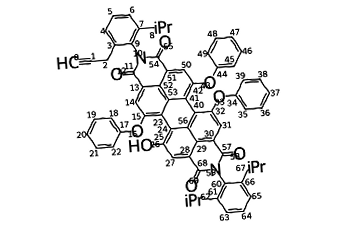 C#CCc1cccc(C(C)C)c1N1C(=O)c2cc(Oc3ccccc3)c3c4c(O)cc5c6c(cc(Oc7ccccc7)c(c7c(Oc8ccccc8)cc(c2c37)C1=O)c64)C(=O)N(c1c(C(C)C)cccc1C(C)C)C5=O